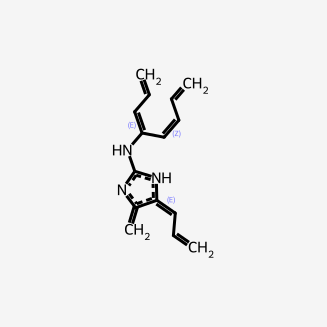 C=C/C=C\C(=C/C=C)Nc1nc(=C)/c(=C\C=C)[nH]1